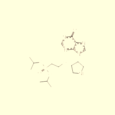 CC(C)OP(=O)(CCO[C@H]1CNC[C@H]1n1cnc2c(=O)[nH]cnc21)OC(C)C